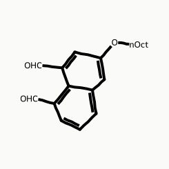 CCCCCCCCOc1cc(C=O)c2c(C=O)cccc2c1